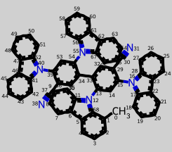 Cc1cccc2c3ccccc3n(-c3cc(-n4c5ccccc5c5ccccc54)c(C#N)cc3-c3cc(C#N)c(-n4c5ccccc5c5ccccc54)cc3-n3c4ccccc4c4ccccc43)c12